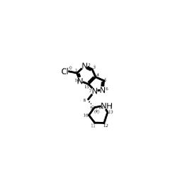 Clc1ncc2cnn(C[C@H]3CCCCN3)c2n1